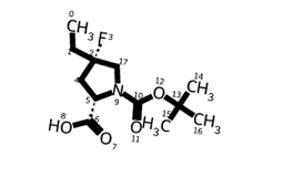 CC[C@]1(F)C[C@@H](C(=O)O)N(C(=O)OC(C)(C)C)C1